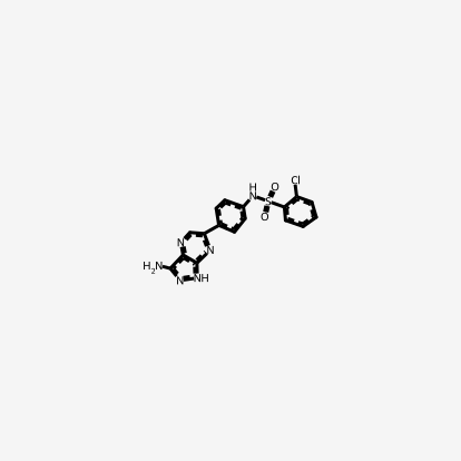 Nc1n[nH]c2nc(-c3ccc(NS(=O)(=O)c4ccccc4Cl)cc3)cnc12